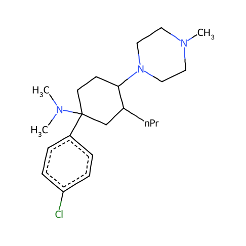 CCCC1CC(c2ccc(Cl)cc2)(N(C)C)CCC1N1CCN(C)CC1